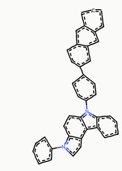 c1ccc(-n2ccc3c4c5ccccc5n(-c5ccc(-c6ccc7cc8ccccc8cc7c6)cc5)c4ccc32)cc1